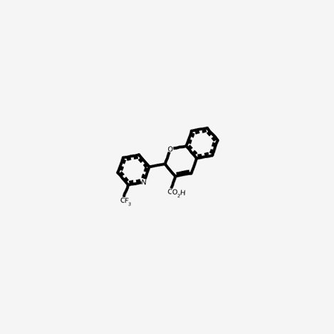 O=C(O)C1=Cc2ccccc2OC1c1cccc(C(F)(F)F)n1